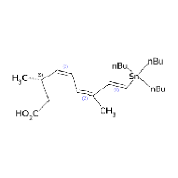 CCC[CH2][Sn](/[CH]=C/C(C)=C\C=C/[C@@H](C)CC(=O)O)([CH2]CCC)[CH2]CCC